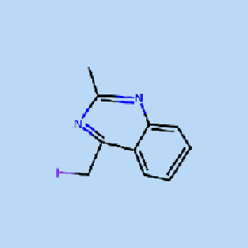 Cc1nc(CI)c2ccccc2n1